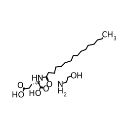 CCCCCCCCCCCCCCCC(=O)N[C@@H](CCC(=O)O)C(=O)O.NCCO